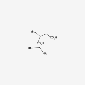 CC(C)(C)C(CC(=O)O)C(=O)O.CC(C)(C)CC(C)(C)C